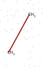 CCCCCCCCCCCCCCCCCCCCCCCCCCCCCCCCCCCCCCCCCCCCCCCCCCCCCCCCCCCCCCCCCCCCCCCCCCCCCCCCCCCCCCCCCCC